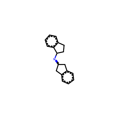 c1ccc2c(c1)CC(=NC1CCc3ccccc31)C2